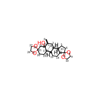 C=C1C[C@H]2[C@@H]3CCC4(OCCO4)[C@@]3(C)CC[C@@H]2[C@@]2(C)CCC3(C[C@]12O)OCCO3